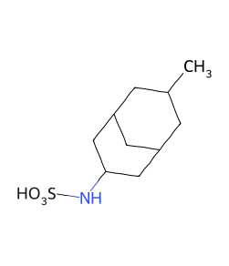 CC1CC2CC(C1)CC(NS(=O)(=O)O)C2